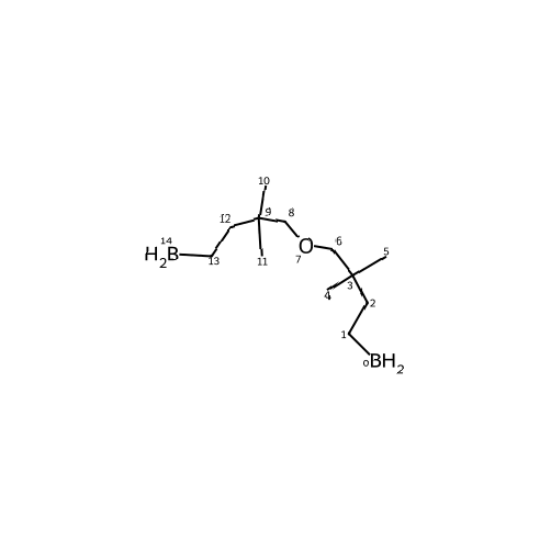 BCCC(C)(C)COCC(C)(C)CCB